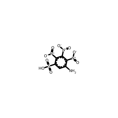 Nc1cc(S(=O)(=O)O)c([N+](=O)[O-])c([N+](=O)[O-])c1[N+](=O)[O-]